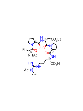 CCOC(=O)C[C@H](NC(=O)[C@@H]1CCCN1C(=O)[C@@H](NC(C)=O)C(C)C)C(=O)N1CCC[C@H]1C(=O)N[C@@H](CCCNC(=N)N(C(C)=O)C(C)=O)C(=O)O